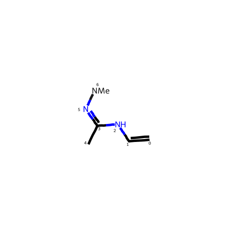 C=CN/C(C)=N\NC